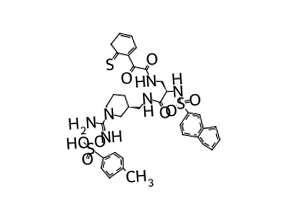 Cc1ccc(S(=O)(=O)O)cc1.N=C(N)N1CCC[C@@H](CNC(=O)[C@@H](CNC(=O)C(=O)C2=CC=CCC2=S)NS(=O)(=O)c2ccc3ccccc3c2)C1